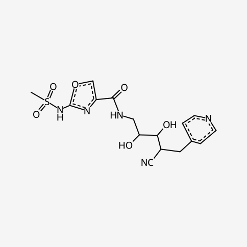 CS(=O)(=O)Nc1nc(C(=O)NCC(O)C(O)C(C#N)Cc2ccncc2)co1